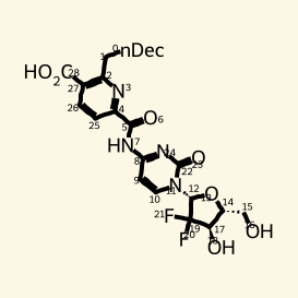 CCCCCCCCCCCc1nc(C(=O)Nc2ccn([C@@H]3O[C@H](CO)[C@@H](O)C3(F)F)c(=O)n2)ccc1C(=O)O